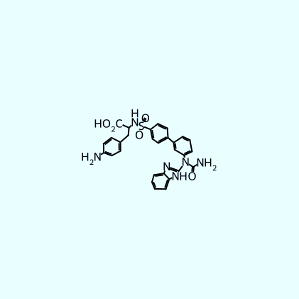 NC(=O)N(c1cccc(-c2ccc(S(=O)(=O)NC(Cc3ccc(N)cc3)C(=O)O)cc2)c1)c1nc2ccccc2[nH]1